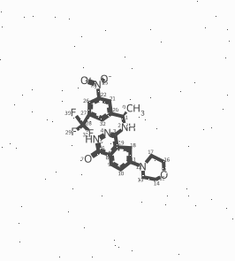 C[C@@H](Nc1n[nH]c(=O)c2ccc(N3CCOCC3)cc12)c1cc([N+](=O)[O-])cc(C(F)(F)F)c1